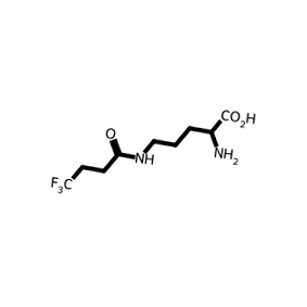 NC(CCCNC(=O)CCC(F)(F)F)C(=O)O